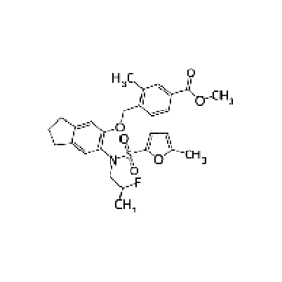 COC(=O)c1ccc(COc2cc3c(cc2N(CC(C)F)S(=O)(=O)c2ccc(C)o2)CCC3)c(C)c1